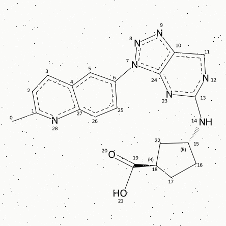 Cc1ccc2cc(-n3nnc4cnc(N[C@@H]5CC[C@@H](C(=O)O)C5)nc43)ccc2n1